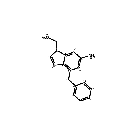 CC(=O)OCn1cnc2c(Cc3ccccc3)nc(N)nc21